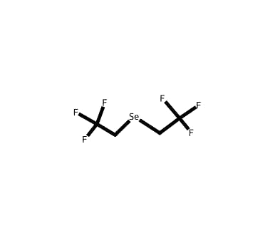 FC(F)(F)C[Se]CC(F)(F)F